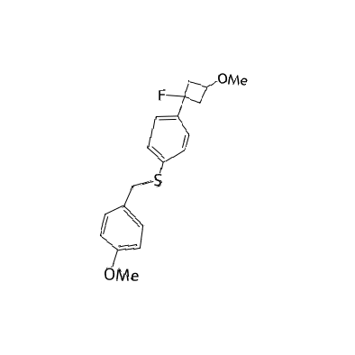 COc1ccc(CSc2ccc(C3(F)CC(OC)C3)cc2)cc1